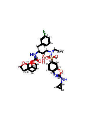 CC(C)CN(C[C@@H](O)[C@H](Cc1cccc(F)c1)NC(=O)OC1C2COC3OCC1C3C2)S(=O)(=O)c1ccc2nc(NC3CC3)oc2c1